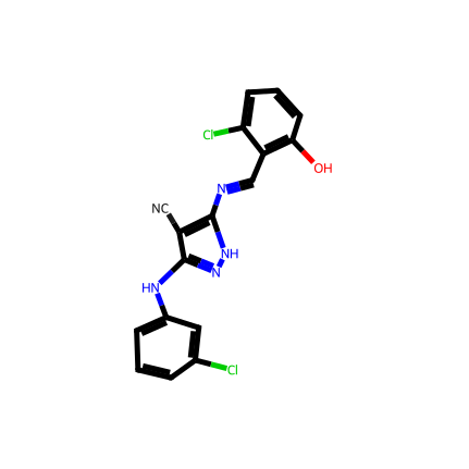 N#Cc1c(Nc2cccc(Cl)c2)n[nH]c1/N=C/c1c(O)cccc1Cl